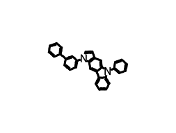 c1ccc(-c2cccc(-n3ccc4cc5c(cc43)c3ccccc3n5-c3ccccc3)c2)cc1